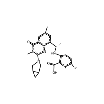 Cc1cc([C@H](C)Nc2ccc(Br)nc2C(=O)O)c2nc(N3CC4CC4C3)n(C)c(=O)c2c1